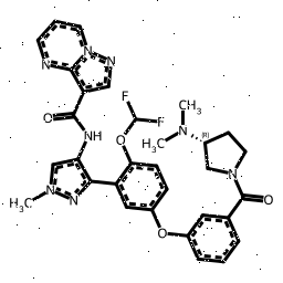 CN(C)[C@@H]1CCN(C(=O)c2cccc(Oc3ccc(OC(F)F)c(-c4nn(C)cc4NC(=O)c4cnn5cccnc45)c3)c2)C1